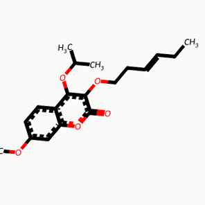 CCC=CCCOc1c(OC(C)C)c2ccc(OC)cc2oc1=O